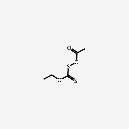 CCOC(=S)SOC(C)=O